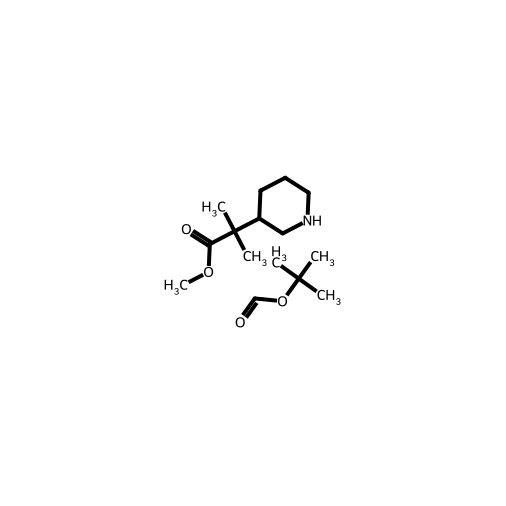 CC(C)(C)OC=O.COC(=O)C(C)(C)C1CCCNC1